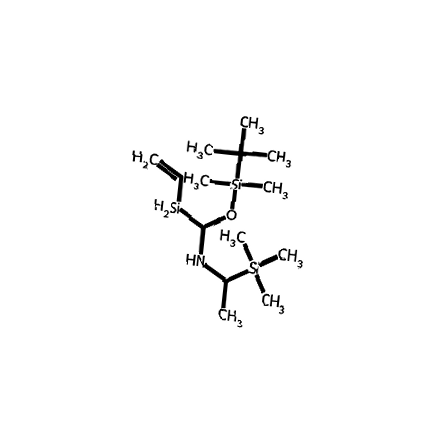 C=C[SiH2]C(NC(C)[Si](C)(C)C)O[Si](C)(C)C(C)(C)C